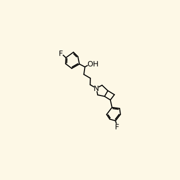 OC(CCCN1CC2CC(c3ccc(F)cc3)C2C1)c1ccc(F)cc1